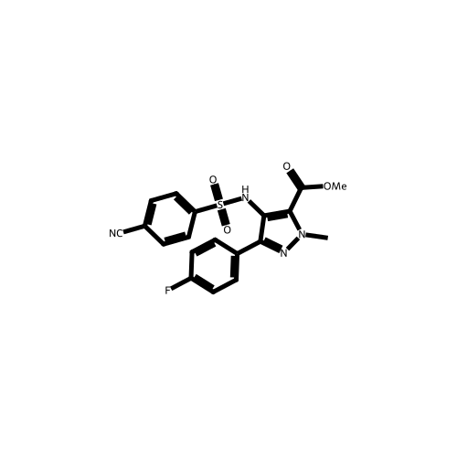 COC(=O)c1c(NS(=O)(=O)c2ccc(C#N)cc2)c(-c2ccc(F)cc2)nn1C